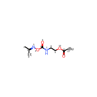 CC/C(C)=N\OC(=O)NCCOC(=O)C(C)CC